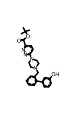 CC(C)(C)OC(=O)c1ccc(N2CCN(Cc3ccccc3-c3cccc(O)c3)CC2)nn1